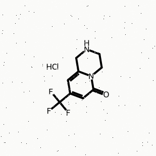 Cl.O=c1cc(C(F)(F)F)cc2n1CCNC2